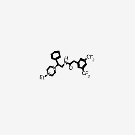 CCN1CCN(C(CNC(=O)Cc2cc(C(F)(F)F)cc(C(F)(F)F)c2)c2ccccc2)CC1